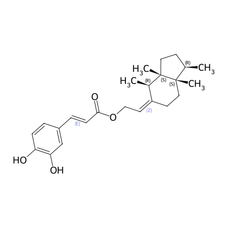 C[C@@H]1CC[C@@]2(C)[C@H](C)/C(=C\COC(=O)/C=C/c3ccc(O)c(O)c3)CC[C@@]12C